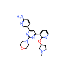 CN1CCC(Oc2ncccc2-c2cc(-c3ccc(N)nc3)nc(N3CCOCC3)n2)C1